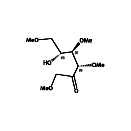 COCC(=O)[C@@H](OC)[C@H](OC)[C@H](O)COC